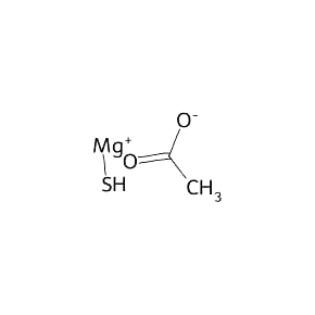 CC(=O)[O-].[Mg+][SH]